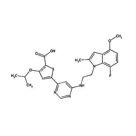 COc1ccc(F)c2c1cc(C)n2CCNc1cc(-c2cc(OC(C)C)c(C(=O)O)s2)ncn1